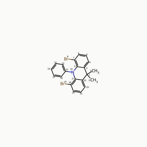 CC1(C)c2cccc(Br)c2N(c2ccccc2)c2c(Br)cccc21